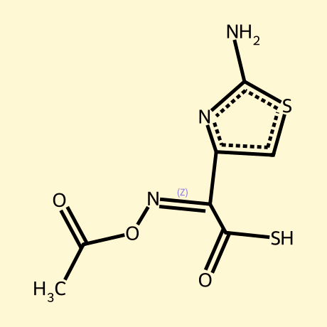 CC(=O)O/N=C(\C(=O)S)c1csc(N)n1